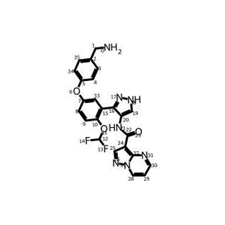 NCc1ccc(Oc2ccc(OC(F)F)c(-c3n[nH]cc3NC(=O)c3cnn4cccnc34)c2)cc1